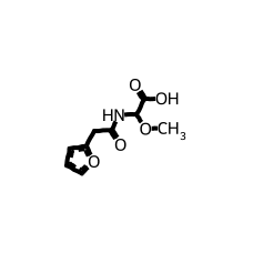 COC(NC(=O)Cc1ccco1)C(=O)O